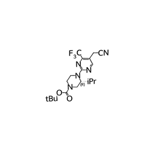 CC(C)[C@@H]1CN(C(=O)OC(C)(C)C)CCN1c1ncc(CC#N)c(C(F)(F)F)n1